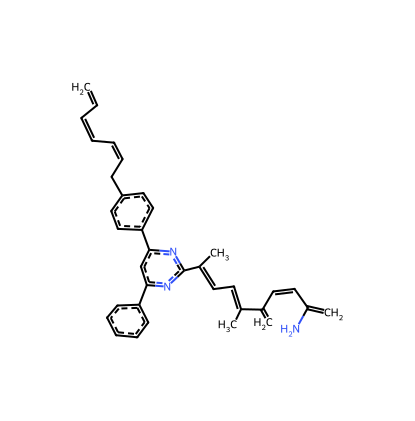 C=C/C=C\C=C/Cc1ccc(-c2cc(-c3ccccc3)nc(/C(C)=C/C=C(\C)C(=C)/C=C\C(=C)N)n2)cc1